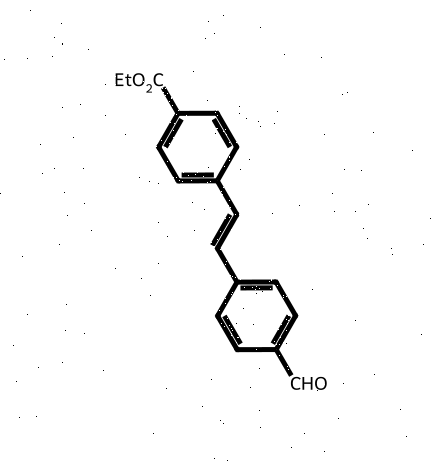 CCOC(=O)c1ccc(C=Cc2ccc(C=O)cc2)cc1